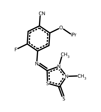 CC(C)Oc1cc(N=c2sc(=S)n(C)n2C)c(F)cc1C#N